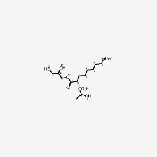 CC(O)C(=O)O.CCCCCCCCCCCCCCCCCC(=O)OCC(O)CO